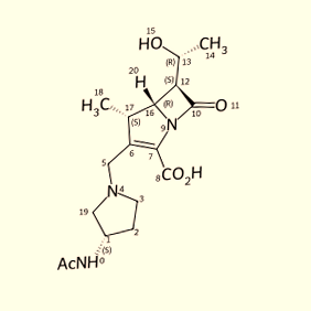 CC(=O)N[C@H]1CCN(CC2=C(C(=O)O)N3C(=O)[C@H]([C@@H](C)O)[C@H]3[C@H]2C)C1